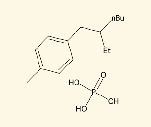 CCCCC(CC)Cc1ccc(C)cc1.O=P(O)(O)O